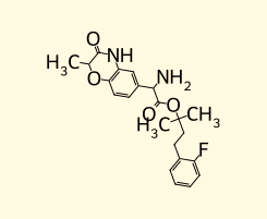 CC1Oc2ccc(C(N)C(=O)OC(C)(C)CCc3ccccc3F)cc2NC1=O